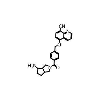 N#Cc1ccc(OCc2ccc(C(=O)N3CC4CCC(N)C4C3)cc2)c2cccnc12